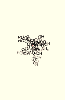 Nc1ccc(O[C@@H]2OC(CO)[C@@H](O[C@@H]3OC(CO[C@H]4OC[C@@H](O)C(O)C4O)[C@@H](O[C@@H]4OC(CO[C@H]5OC[C@@H](O)C(O)C5O)[C@@H](O[C@@H]5OC(CO[C@H]6OC[C@@H](O)C(O)C6O)[C@@H](O)C(O)C5O)C(O)C4O)C(O)C3O)C(O)C2O)c(C(=O)O)c1